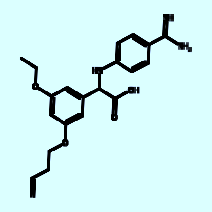 C=CCCOc1cc(OCC)cc(C(Nc2ccc(C(=N)N)cc2)C(=O)O)c1